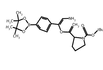 C=C(O/C(=C\N)c1ccc(B2OC(C)(C)C(C)(C)O2)cc1)C1CCCN1C(=O)OC(C)(C)C